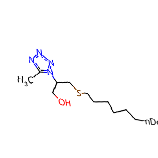 CCCCCCCCCCCCCCCCSCC(CO)n1nnnc1C